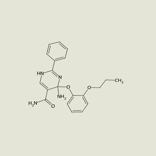 CCCOc1ccccc1OC1(N)N=C(c2ccccc2)NC=C1C(N)=O